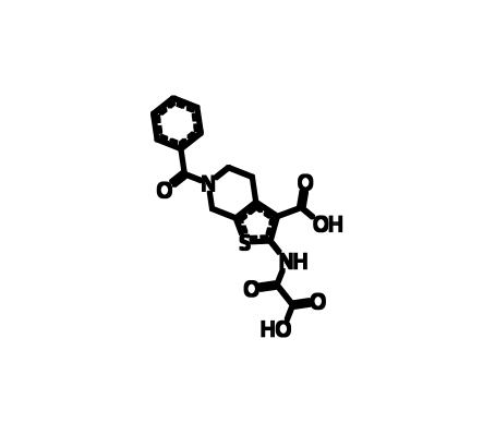 O=C(O)C(=O)Nc1sc2c(c1C(=O)O)CCN(C(=O)c1ccccc1)C2